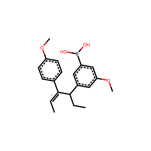 C/C=C(/c1ccc(OC)cc1)C(CC)c1cc(OC)cc(B(O)O)c1